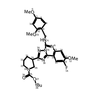 COc1ccc(CNc2nc3cc(OC)c(F)cc3c3nc(C4CCCN(C(=O)OC(C)(C)C)C4)nn23)c(OC)c1